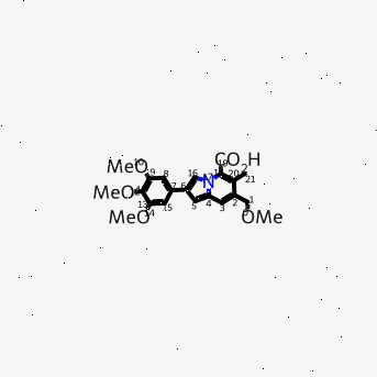 COCc1cc2cc(-c3cc(OC)c(OC)c(OC)c3)cn2c(C(=O)O)c1C